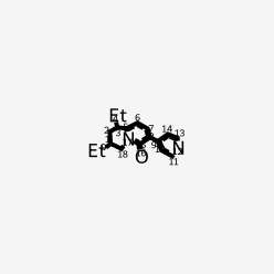 CCC1CC(CC)c2ccc(-c3ccncc3)c(=O)n2C1